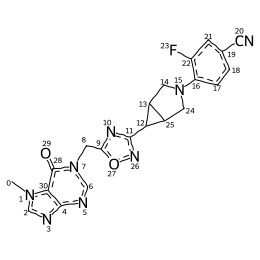 Cn1cnc2ncn(Cc3nc(C4C5CN(c6ccc(C#N)cc6F)CC54)no3)c(=O)c21